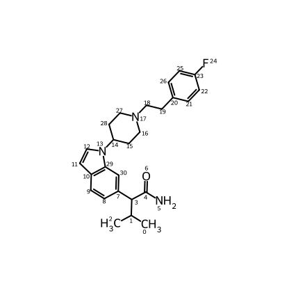 CC(C)C(C(N)=O)c1ccc2ccn(C3CCN(CCc4ccc(F)cc4)CC3)c2c1